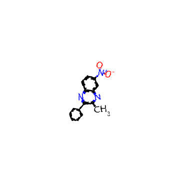 Cc1nc2cc([N+](=O)[O-])ccc2nc1-c1ccccc1